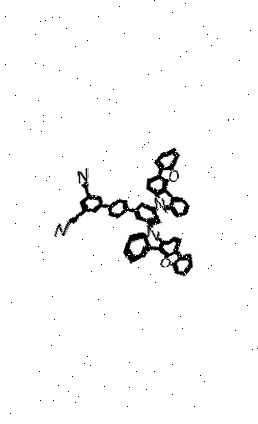 N#Cc1cc(C#N)cc(-c2ccc(-c3cc(-n4c5ccccc5c5c6oc7ccccc7c6ccc54)cc(-n4c5ccccc5c5c6oc7ccccc7c6ccc54)c3)cc2)c1